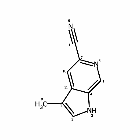 Cc1c[nH]c2cnc(C#N)cc12